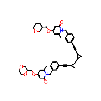 Cc1cc(OC[C@@H]2CCCOC2)cc(=O)n1Cc1ccc(C#CC2CC2C2CC2C#Cc2cccc(Cn3c(C)cc(OC[C@@H]4COCCO4)cc3=O)c2)cc1